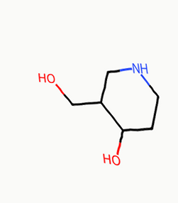 OCC1CNCCC1O